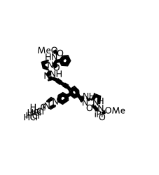 COC(=O)N[C@H](C(=O)N1CCC[C@H]1c1ncc(-c2ccc(C#CC#Cc3cnc([C@@H]4CCCN4C(=O)[C@H](NC(=O)OC)c4ccccc4)[nH]3)c(-c3ccc(N4CCN(C)CC4)cc3)c2)[nH]1)C(C)C.Cl.Cl.Cl.Cl